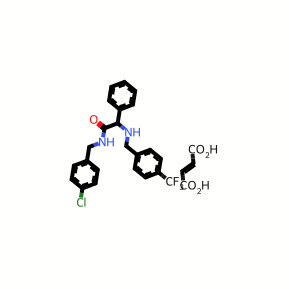 O=C(NCc1ccc(Cl)cc1)C(NCc1ccc(C(F)(F)F)cc1)c1ccccc1.O=C(O)C=CC(=O)O